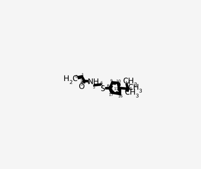 C=CC(=O)NCCSc1ccc(C(C)(C)C)cc1